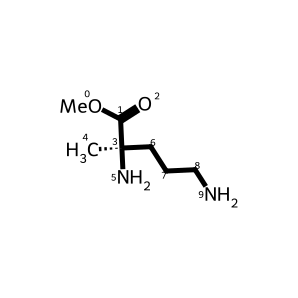 COC(=O)[C@](C)(N)CCCN